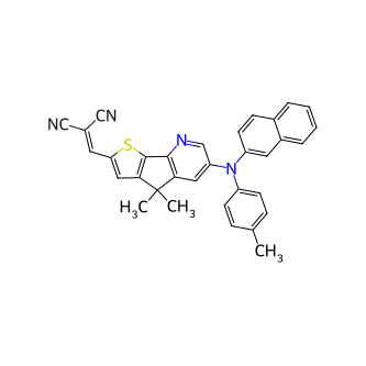 Cc1ccc(N(c2cnc3c(c2)C(C)(C)c2cc(C=C(C#N)C#N)sc2-3)c2ccc3ccccc3c2)cc1